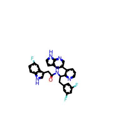 O=C(Cc1c[nH]c2ccc(F)cc12)NC(Cc1cc(F)cc(F)c1)c1ncccc1-c1cnc2[nH]ccc2c1